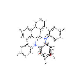 Cc1ccc(N(c2ccc(C)cc2)c2c(N(c3ccc(C)cc3)c3ccc(C)cc3)c3ccccc3c3ccccc23)cc1